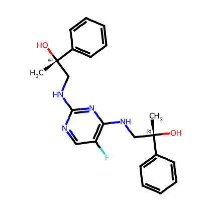 C[C@](O)(CNc1ncc(F)c(NC[C@](C)(O)c2ccccc2)n1)c1ccccc1